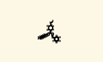 CCC1CCC(C(=O)OSc2ccccc2)CC1.F.F.F.F.F